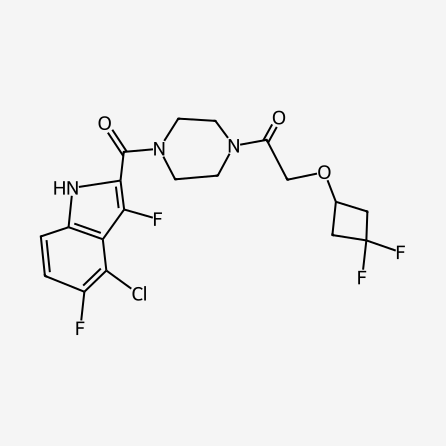 O=C(COC1CC(F)(F)C1)N1CCN(C(=O)c2[nH]c3ccc(F)c(Cl)c3c2F)CC1